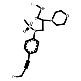 CC(C)CC#Cc1ccc(N(CC(C(=O)NO)N2CCOCC2)S(C)(=O)=O)cc1